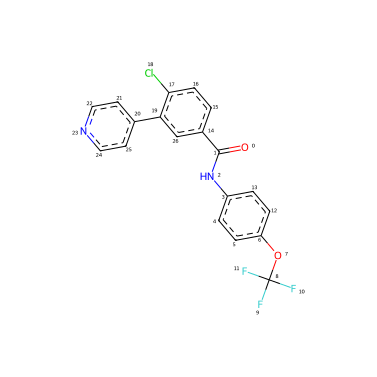 O=C(Nc1ccc(OC(F)(F)F)cc1)c1ccc(Cl)c(-c2ccncc2)c1